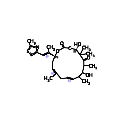 C/C1=C/C[C@@H](/C(C)=C/c2csc(C)n2)OC(=O)C[C@H](O)C(C)(C)C(=O)C(C)C(O)C(C)/C=C/C1